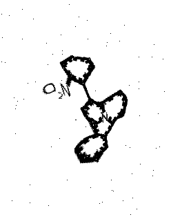 O=[N+]([O-])c1ccccc1-c1cc2c3ccccc3c3cccc1n32